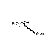 CCCCCCCCCCCCCCCCC(O)C(=O)OCC